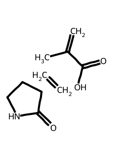 C=C.C=C(C)C(=O)O.O=C1CCCN1